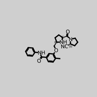 Cc1ccc(C(=O)Nc2ccccc2)cc1OC[C@H]1CC[C@@H](C(=O)N2CCC[C@H]2C#N)N1